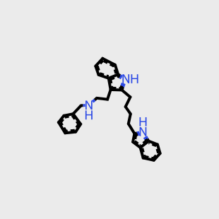 c1ccc(CNCCc2c(CCCCc3cc4ccccc4[nH]3)[nH]c3ccccc23)cc1